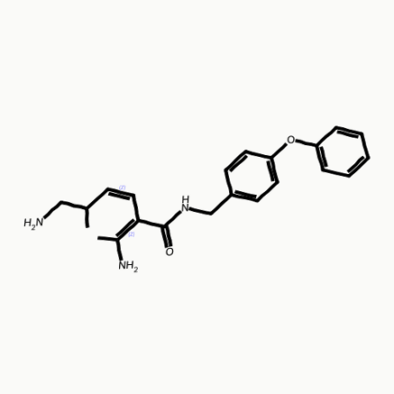 C/C(N)=C(\C=C/C(C)CN)C(=O)NCc1ccc(Oc2ccccc2)cc1